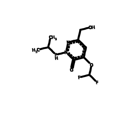 CC(C)Pn1nc(CO)cc(OC(F)F)c1=O